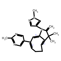 C=C1N(c2cnn(C)c2)C2=C/C(c3cnc(C)nc3)=C\CC\C=C\2C1(C)C